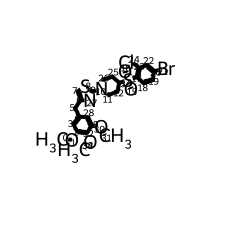 COc1cc(Cc2csc(N3CCC(S(=O)(=O)c4ccc(Br)cc4Cl)CC3)n2)cc(OC)c1OC